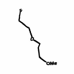 COCCOCC[S]